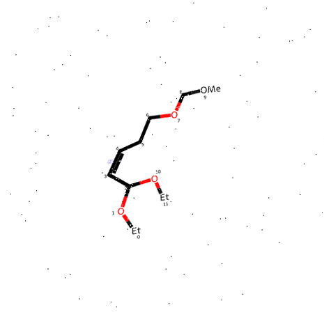 CCOC(/C=C\CCOCOC)OCC